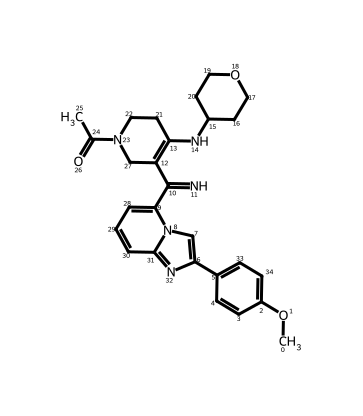 COc1ccc(-c2cn3c(C(=N)C4=C(NC5CCOCC5)CCN(C(C)=O)C4)cccc3n2)cc1